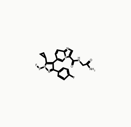 NC(=O)CNC(=O)c1cnc2ccc(-c3c(-c4ccc(F)cc4)nn(SF)c3C3CC3)cn12